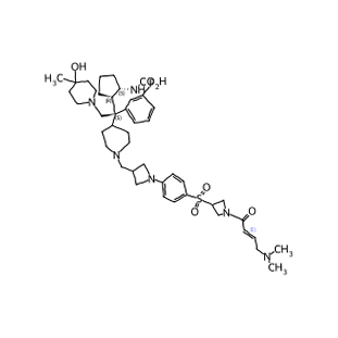 CN(C)C/C=C/C(=O)N1CC(S(=O)(=O)c2ccc(N3CC(CN4CCC([C@@](CN5CCC(C)(O)CC5)(c5cccc(F)c5)[C@H]5CCC[C@@H]5NC(=O)O)CC4)C3)cc2)C1